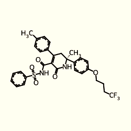 Cc1ccc(C2=C(C(=O)NS(=O)(=O)c3ccccc3)C(=O)N[C@](C)(c3ccc(OCCCC(F)(F)F)cc3)C2)cc1